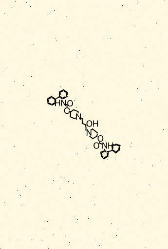 O=C(Nc1ccccc1-c1ccccc1)OC1CCN(CCC(O)CN2CCC(OC(=O)Nc3ccccc3-c3ccccc3)CC2)CC1